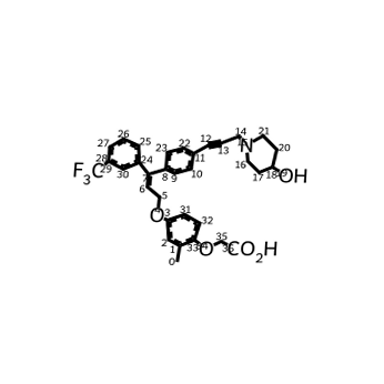 Cc1cc(OC/C=C(\c2ccc(C#CCN3CCC(O)CC3)cc2)c2cccc(C(F)(F)F)c2)ccc1OCC(=O)O